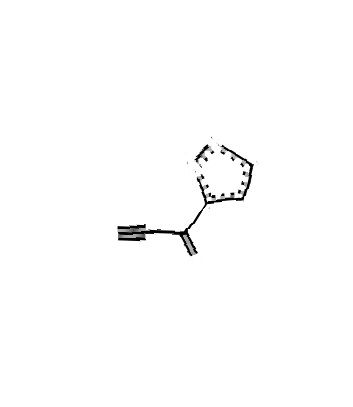 C#CC(=O)c1ccn[nH]1